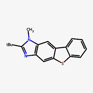 Cn1c(C(C)(C)C)nc2cc3sc4ccccc4c3cc21